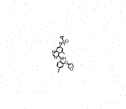 Cc1cc(N=S(C)(=O)C2CC2)cc2ncnc(Nc3ccc(F)cc3O[C@H]3CCOC3)c12